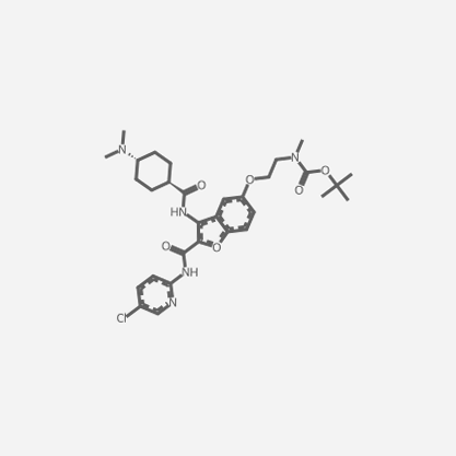 CN(CCOc1ccc2oc(C(=O)Nc3ccc(Cl)cn3)c(NC(=O)[C@H]3CC[C@H](N(C)C)CC3)c2c1)C(=O)OC(C)(C)C